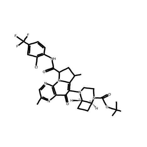 Cc1cnc2c(n1)c(=O)c(N1CCN(C(=O)OC(C)(C)C)[C@H]3CC[C@@H]31)c1n2C(C(=O)Nc2ccc(C(F)(F)F)cc2Cl)CC1C